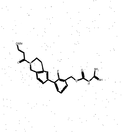 COCCC(=O)N1CCc2cc(-c3cccc(COC(=O)NC(=N)N)c3F)ccc2C1